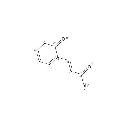 CCCC(=O)C=CC1=CC=CCC1=O